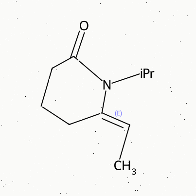 C/C=C1\CCCC(=O)N1C(C)C